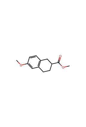 COC(=O)C1CCc2cc(OC)ccc2C1